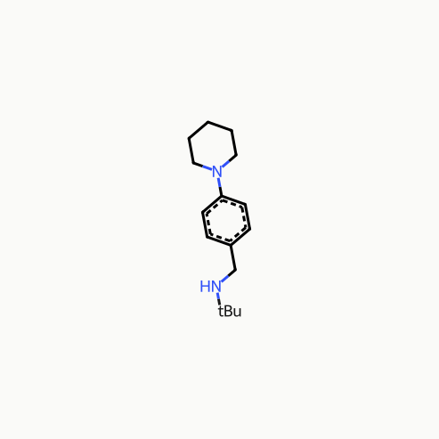 CC(C)(C)NCc1ccc(N2CCCCC2)cc1